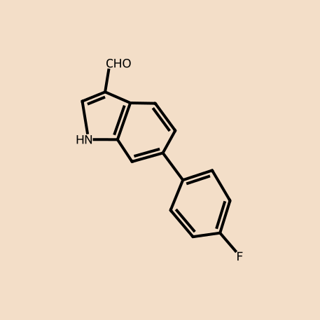 O=Cc1c[nH]c2cc(-c3ccc(F)cc3)ccc12